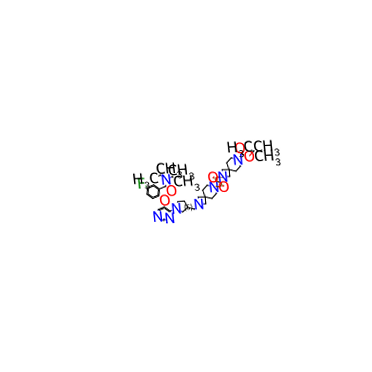 CC(C)N(C(=O)c1cc(F)ccc1Oc1cncnc1N1CC[C@@H](CN2CC3(CCN(S(=O)(=O)N4CC5(CCN(C(=O)OC(C)(C)C)CC5)C4)CC3)C2)C1)C(C)C